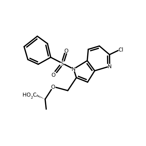 C[C@@H](OCc1cc2nc(Cl)ccc2n1S(=O)(=O)c1ccccc1)C(=O)O